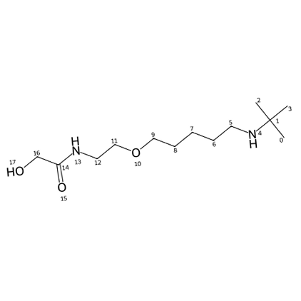 CC(C)(C)NCCCCCOCCNC(=O)CO